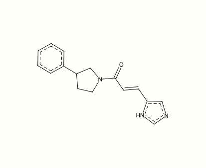 O=C(/C=C/c1cnc[nH]1)N1CCC(c2ccccc2)C1